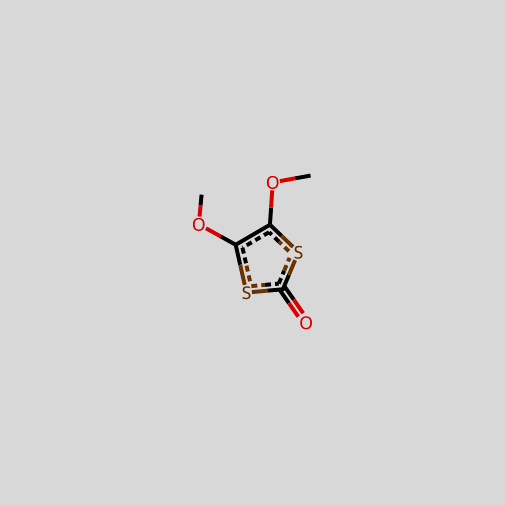 COc1sc(=O)sc1OC